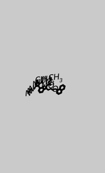 CCOC(=O)c1[nH]c2c(-c3c(CN=[N+]=[N-])nn(C)c3CC)cccc2c1CCCOc1cccc2ccccc12